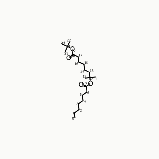 CCCCCCCC(=O)OC(C)(C)CCCCCC(=O)OC(C)(C)C